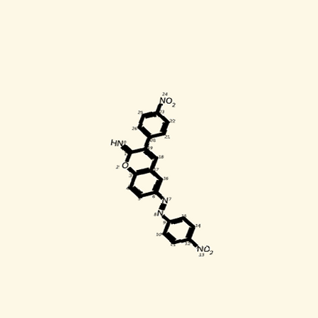 N=c1oc2ccc(N=Nc3ccc([N+](=O)[O-])cc3)cc2cc1-c1ccc([N+](=O)[O-])cc1